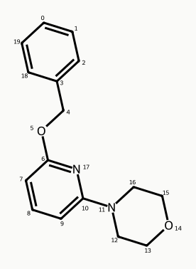 c1ccc(COc2cccc(N3CCOCC3)n2)cc1